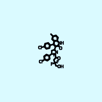 Cc1ccc2[nH]c(=O)c(C3=NN(C(=O)CC(F)(F)CO)C(c4ccc(Cl)cc4)C3)c(-c3ccc(Cl)cc3)c2c1